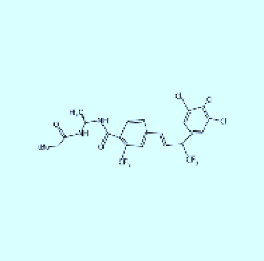 C[C@H](NC(=O)CC(C)(C)C)NC(=O)c1ccc(C=CC(c2cc(Cl)c(Cl)c(Cl)c2)C(F)(F)F)cc1C(F)(F)F